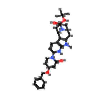 Cn1c2c(c3ccc(-n4ccc(OCc5ccccc5)cc4=O)nc31)C1CCCC(C2)N1C(=O)OC(C)(C)C